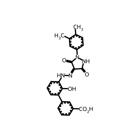 Cc1ccc(N2NC(=O)C(=NNc3cccc(-c4cccc(C(=O)O)c4)c3O)C2=O)cc1C